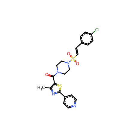 Cc1nc(-c2ccncc2)sc1C(=O)N1CCN(S(=O)(=O)C=Cc2ccc(Cl)cc2)CC1